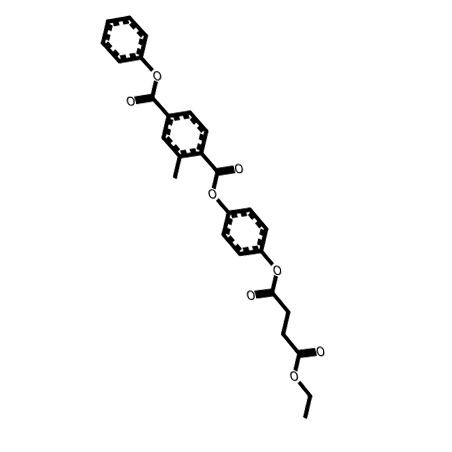 CCOC(=O)CCC(=O)Oc1ccc(OC(=O)c2ccc(C(=O)Oc3ccccc3)cc2C)cc1